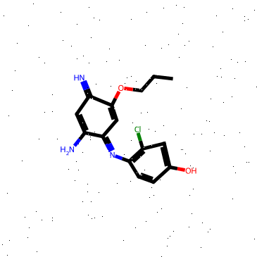 CCCOC1=CC(=Nc2ccc(O)cc2Cl)C(N)=CC1=N